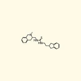 CN1Cc2ccccc2CC1CNC(=S)NCCC1Cc2ccccc2C1